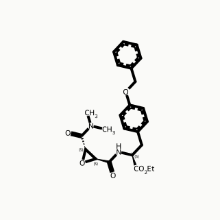 CCOC(=O)[C@H](Cc1ccc(OCc2ccccc2)cc1)NC(=O)[C@H]1O[C@@H]1C(=O)N(C)C